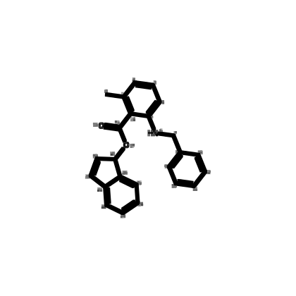 Cc1cccc(NCc2ccccc2)c1C(=O)OC1C=Cc2ccccc21